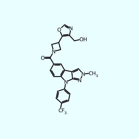 Cn1cc2c3cc(C(=O)N4CC(c5ocnc5CO)C4)ccc3n(-c3ccc(C(F)(F)F)cc3)c2n1